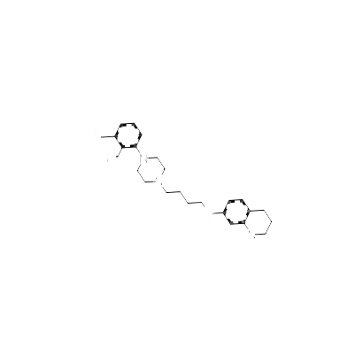 Clc1cccc(N2CCN(CCCCOc3ccc4c(c3)NCCC4)CC2)c1Cl